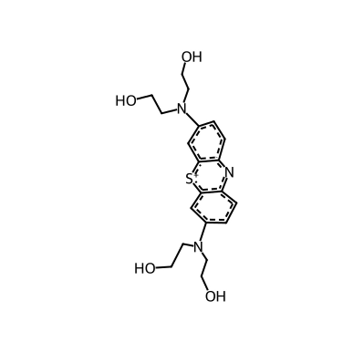 OCCN(CCO)c1ccc2nc3ccc(N(CCO)CCO)cc3[s+]c2c1